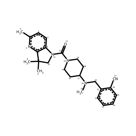 Cc1ccc2c(n1)C(C)(C)CN2C(=O)N1CCC(N(C)Cc2ccccc2C#N)CC1